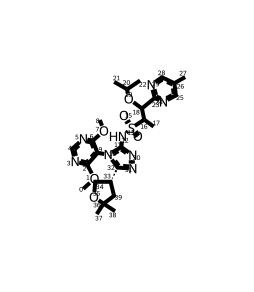 COc1ncnc(OC)c1-n1c(NS(=O)(=O)C(C)C(OC(C)C)c2ncc(C)cn2)nnc1[C@H]1COC(C)(C)C1